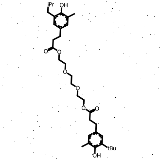 Cc1cc(CCC(=O)OCCOCCOCCOC(=O)CCc2cc(C)c(O)c(C(C)(C)C)c2)cc(CC(C)C)c1O